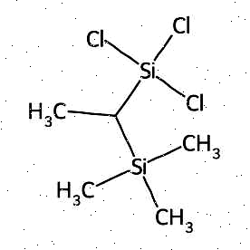 CC([Si](C)(C)C)[Si](Cl)(Cl)Cl